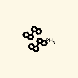 P.c1ccc2c(-c3cccc4ccccc34)cccc2c1.c1ccc2c(-c3cccc4ccccc34)cccc2c1